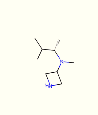 CC(C)[C@H](C)N(C)C1CNC1